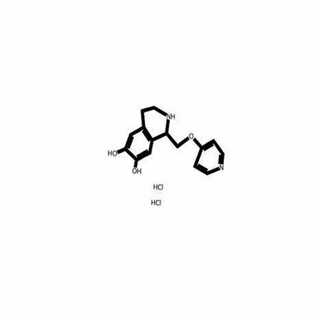 Cl.Cl.Oc1cc2c(cc1O)C(COc1ccncc1)NCC2